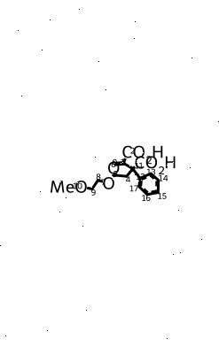 C=C(C(=O)O)C(CC(=O)OCCOC)(C(=O)O)c1ccccc1